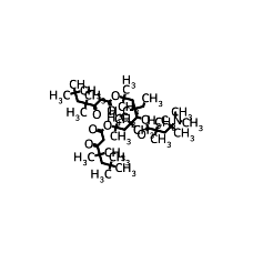 CCC(C)(CC(C)(C)OC(=O)CC(=O)C(C)(C)CC(C)(C)C)C(OC(=O)C(C)(C)CC(C)(C)N(C)C)C(C)(C)CC(C)(C)OC(=O)CC(=O)C(C)(C)CC(C)(C)C